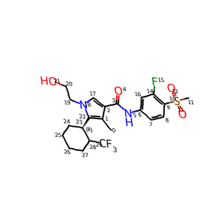 Cc1c(C(=O)Nc2ccc(S(C)(=O)=O)c(F)c2)cn(CCO)c1[C@@H]1CCCCC1C(F)(F)F